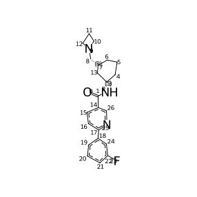 O=C(N[C@H]1CCC[C@@H](CN2CCC2)C1)c1ccc(-c2cccc(F)c2)nc1